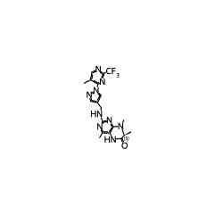 Cc1cnc(C(F)(F)F)nc1-n1cc(CNc2nc(C)c3c(n2)N(C)[C@@H](C)C(=O)N3)cn1